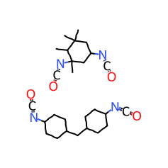 CC1C(C)(C)CC(N=C=O)CC1(C)N=C=O.O=C=NC1CCC(CC2CCC(N=C=O)CC2)CC1